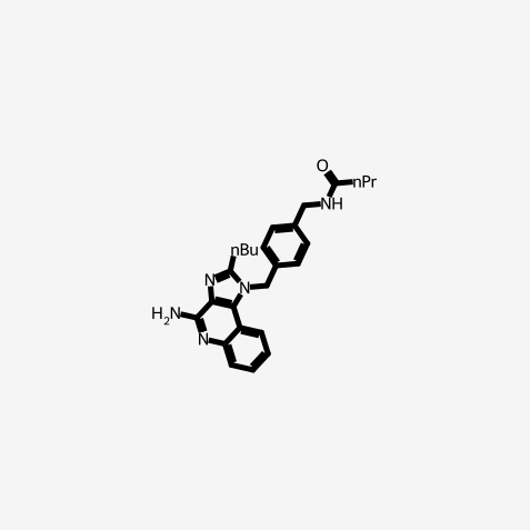 CCCCc1nc2c(N)nc3ccccc3c2n1Cc1ccc(CNC(=O)CCC)cc1